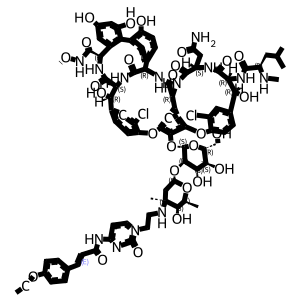 CCOc1ccc(/C=C/C(=O)Nc2ccn(CCN[C@@]3(C)C[C@H](O[C@H]4[C@H](Oc5c6cc7cc5Oc5ccc(cc5Cl)[C@@H](O)[C@@H](NC(=O)[C@@H](CC(C)C)NC)C(=O)N[C@@H](CC(N)=O)C(=O)N[C@H]7C(=O)N[C@H]5C(=O)N[C@H](C(=O)N[C@@H](C(=O)NOC)c7cc(O)cc(O)c7-c7cc5ccc7O)[C@H](O)c5ccc(c(Cl)c5)O6)O[C@H](CO)[C@@H](O)[C@@H]4O)O[C@@H](C)[C@H]3O)c(=O)n2)cc1